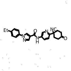 CCc1ccc(-n2cc(C(=O)Nc3ccc(C4(C#N)CCC(=O)CC4)nc3)cn2)cc1